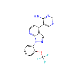 Nc1ncncc1-c1ccnc2c1cnn2-c1ccccc1OC(F)(F)F